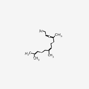 CC(=O)CC=C=C(C)CCC=C(C)CCC=C(C)C